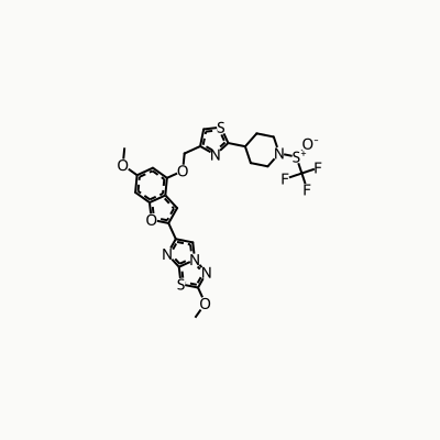 COc1cc(OCc2csc(C3CCN([S+]([O-])C(F)(F)F)CC3)n2)c2cc(-c3cn4nc(OC)sc4n3)oc2c1